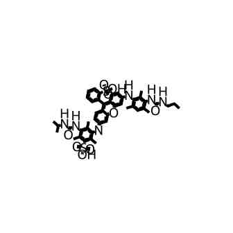 CCCNC(=O)Nc1c(C)cc(C)c(Nc2ccc3c(-c4ccccc4S(=O)(=O)O)c4cc/c(=N\c5c(C)c(NC(=O)NC(C)C)c(C)c(S(=O)(=O)O)c5C)cc-4oc3c2)c1C